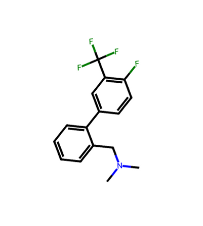 CN(C)Cc1ccccc1-c1ccc(F)c(C(F)(F)F)c1